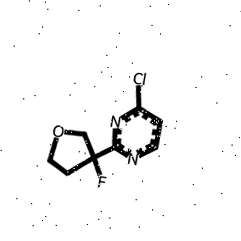 FC1(c2nccc(Cl)n2)CCOC1